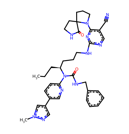 CCC[C@@H](CCCNc1ncc(C#N)c(N2CCCC23CCNC3=O)n1)N(C(=O)NCc1ccccc1)c1ccc(-c2cnn(C)c2)cn1